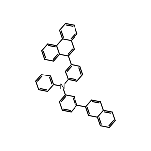 c1ccc(N(c2cccc(-c3ccc4ccccc4c3)c2)c2cccc(-c3cc4ccccc4c4ccccc34)c2)cc1